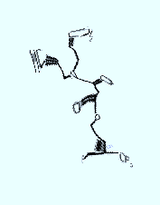 C#CCN(CC=C)C(=O)C(=O)OC/C=C(\F)C(F)(F)F